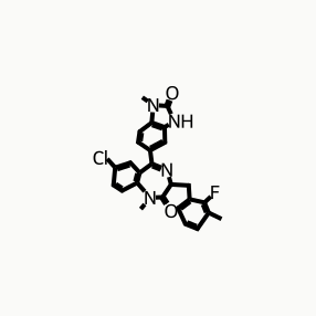 Cc1cccc(CC2N=C(c3ccc4c(c3)[nH]c(=O)n4C)c3cc(Cl)ccc3N(C)C2=O)c1F